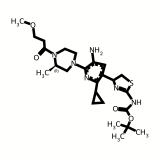 COCCC(=O)N1CCN(c2nc(C3CC3)c(C3CSC(NC(=O)OC(C)(C)C)=N3)cc2N)C[C@H]1C